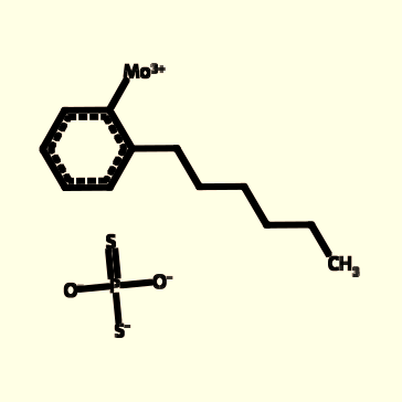 CCCCCCc1cccc[c]1[Mo+3].[O-]P([O-])(=S)[S-]